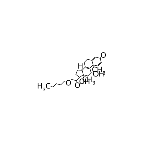 CCCCCOCC(=O)[C@@]1(O)CC[C@H]2C3=C(C(O)C[C@@]21C)[C@@]1(C)C=CC(=O)C=C1CC3